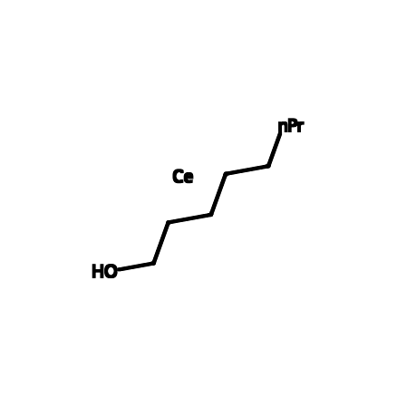 CCCCCCCCO.[Ce]